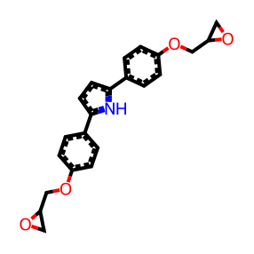 c1cc(-c2ccc(-c3ccc(OCC4CO4)cc3)[nH]2)ccc1OCC1CO1